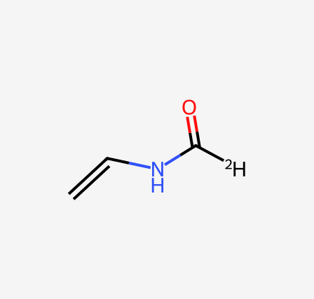 [2H]C(=O)NC=C